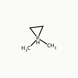 C[PH]1(C)CC1